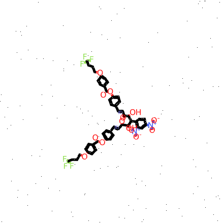 O=C(Oc1ccc(/C=C/C(=O)C(O)C(c2ccc([N+](=O)[O-])cc2[N+](=O)[O-])C(O)C(=O)/C=C/c2ccc(OC(=O)c3ccc(OCCCC(F)(F)F)cc3)cc2)cc1)c1ccc(OCCCC(F)(F)F)cc1